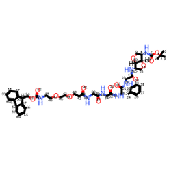 CC(C)(C)OC(=O)N[C@H]1CO[C@H]2[C@@H]1OC[C@@H]2NC(=O)CNC(=O)[C@H](Cc1ccccc1)NC(=O)CNC(=O)CNC(=O)CCOCCOCCNC(=O)OCC1c2ccccc2-c2ccccc21